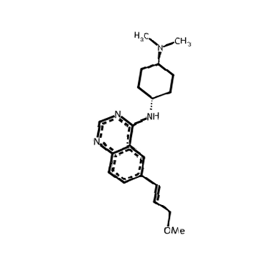 COC/C=C/c1ccc2ncnc(N[C@H]3CC[C@H](N(C)C)CC3)c2c1